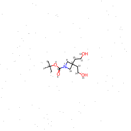 CC(C)(C)OC(=O)N1CC(CCO)(CCO)C1